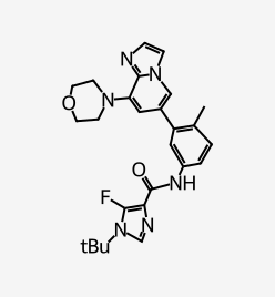 Cc1ccc(NC(=O)c2ncn(C(C)(C)C)c2F)cc1-c1cc(N2CCOCC2)c2nccn2c1